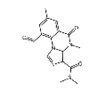 Cc1cc(C=O)c2c(c1)c(=O)n(C)c1c(C(=O)N(C)C)ncn21